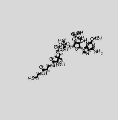 CC(C)(C)Oc1nc(N)c2ncn([C@@H]3O[C@H](COP(=O)(O)OP(=O)(O)OCC(C)(C)[C@@H](O)C(=O)NCCC(=O)NCCS)[C@@H](OP(=O)(O)O)[C@H]3O)c2n1